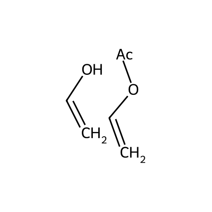 C=CO.C=COC(C)=O